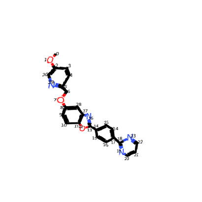 COc1ccc(COc2ccc3oc(-c4ccc(-c5ncccn5)cc4)nc3c2)nc1